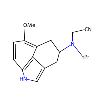 CCCN(CC#N)C1Cc2c[nH]c3ccc(OC)c(c23)C1